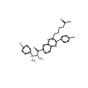 C[C@H](c1ccc(F)cc1)N(C)C(=O)c1ccc2nc(-c3ccc(F)cc3)c(CCCCC(=O)O)nc2c1